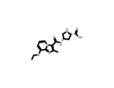 CCOc1cccn2c(C(=O)N[C@@H]3CN[C@H](C(=O)O)C3)c(C)nc12